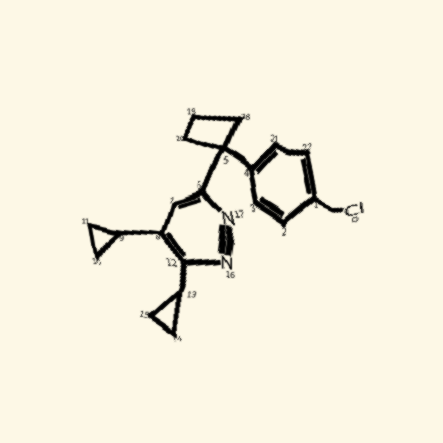 Clc1ccc(C2(c3cc(C4CC4)c(C4CC4)nn3)CCC2)cc1